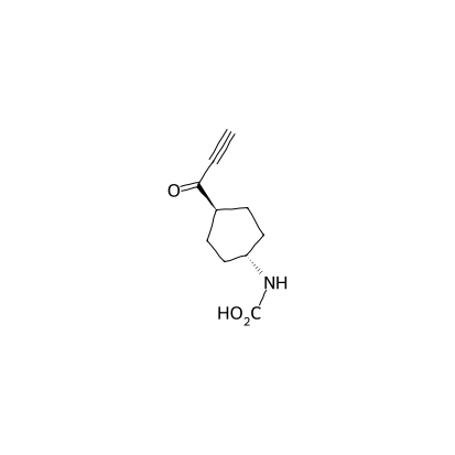 C#CC(=O)[C@H]1CC[C@H](NC(=O)O)CC1